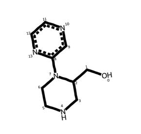 OCC1CNCCN1c1cnccn1